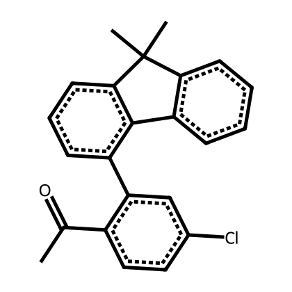 CC(=O)c1ccc(Cl)cc1-c1cccc2c1-c1ccccc1C2(C)C